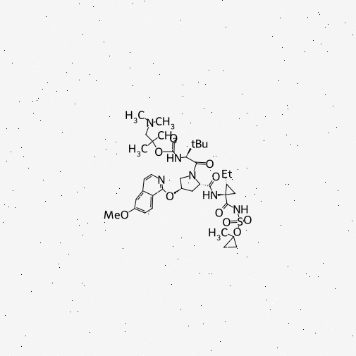 CC[C@@H]1C[C@]1(NC(=O)[C@@H]1C[C@@H](Oc2nccc3cc(OC)ccc23)CN1C(=O)[C@@H](NC(=O)OC(C)(C)CN(C)C)C(C)(C)C)C(=O)NS(=O)(=O)OC1(C)CC1